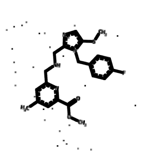 COC(=O)c1cc(C)cc(CNCc2ncc(SC)n2Cc2ccc(F)cc2)n1